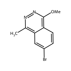 COc1nnc(C)c2cc(Br)ccc12